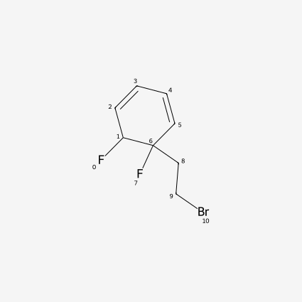 FC1C=CC=CC1(F)CCBr